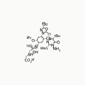 CC(C)Oc1cc(-n2nc(C(C)(C)C)oc2=O)c(Cl)cc1Cl.CSc1nnc(C(C)(C)C)c(=O)n1N.O=C(O)CNCP(=O)(O)O